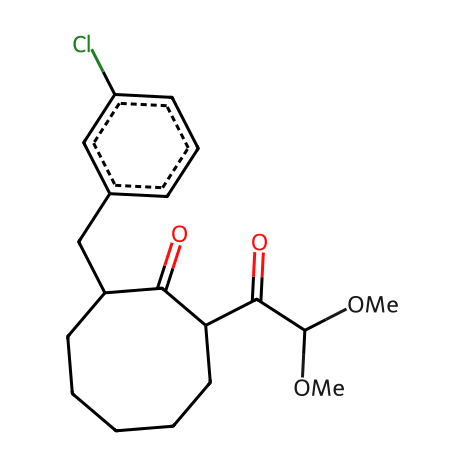 COC(OC)C(=O)C1CCCCCC(Cc2cccc(Cl)c2)C1=O